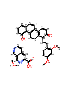 COC.COc1ccc(CCC2C(=O)C=CC3=C2CCc2c3ccc3cccc(O)c23)c(OC)c1.O=C(O)c1cc2ccncc2cn1